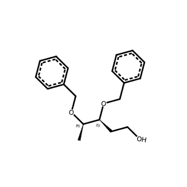 C[C@@H](OCc1ccccc1)[C@H](CCO)OCc1ccccc1